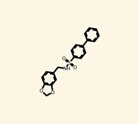 O=S(=O)(NCc1ccc2c(c1)OCO2)c1ccc(-c2ccccc2)cc1